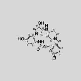 NC(=O)Nc1ccc(O)cc1N1CC(O)C(NC2CCN(Cc3ccc(Cl)cc3)CC2)C1